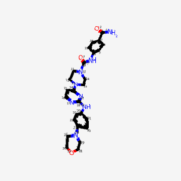 NC(=O)c1ccc(NC(=O)N2CCN(c3ccnc(Nc4ccc(N5CCOCC5)cc4)n3)CC2)cc1